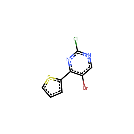 Clc1ncc(Br)c(-c2cccs2)n1